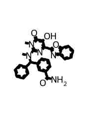 CN(c1nc(-c2nc3ccccc3o2)c(O)c(=O)n1C)C(c1ccccc1)c1cccc(C(N)=O)c1